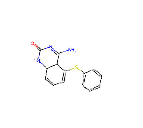 NC1=NC(=O)NC2C=CC=C(Sc3ccccc3)C12